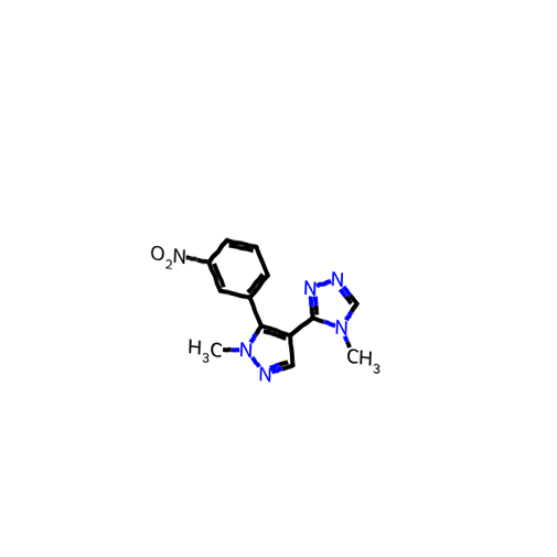 Cn1cnnc1-c1cnn(C)c1-c1cccc([N+](=O)[O-])c1